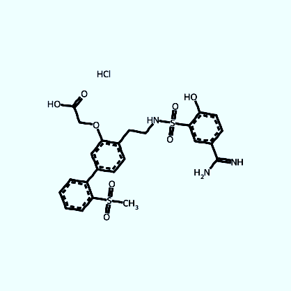 CS(=O)(=O)c1ccccc1-c1ccc(CCNS(=O)(=O)c2cc(C(=N)N)ccc2O)c(OCC(=O)O)c1.Cl